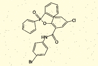 O=C(Nc1ccc(Br)cc1)c1cc(Cl)ccc1OP(=O)(c1ccccc1)c1ccccc1